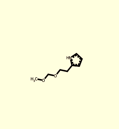 COCOCCc1ccc[nH]1